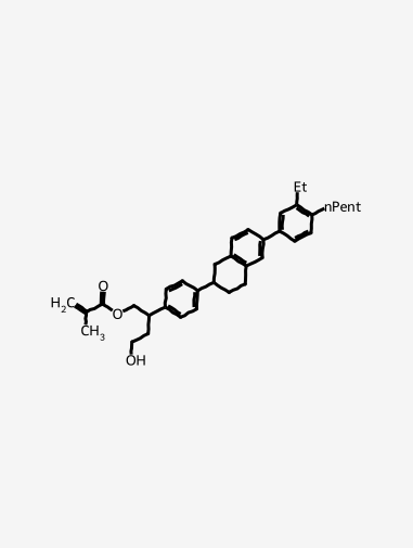 C=C(C)C(=O)OCC(CCO)c1ccc(C2CCc3cc(-c4ccc(CCCCC)c(CC)c4)ccc3C2)cc1